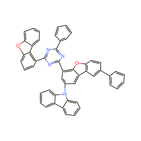 c1ccc(-c2ccc3oc4c(-c5nc(-c6ccccc6)nc(-c6cccc7oc8ccccc8c67)n5)cc(-n5c6ccccc6c6ccccc65)cc4c3c2)cc1